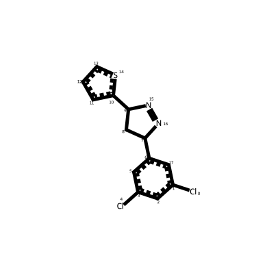 Clc1cc(Cl)cc(C2CC(c3cccs3)N=N2)c1